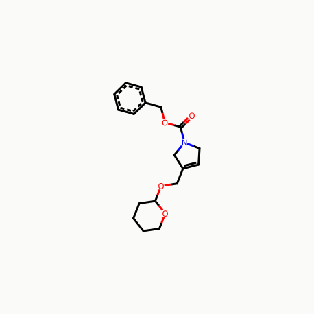 O=C(OCc1ccccc1)N1CC=C(COC2CCCCO2)C1